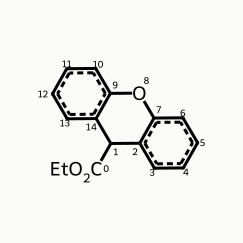 CCOC(=O)C1c2ccccc2Oc2ccccc21